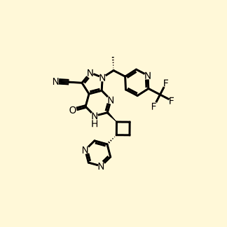 C[C@H](c1ccc(C(F)(F)F)nc1)n1nc(C#N)c2c(=O)[nH]c([C@H]3CC[C@@H]3c3cncnc3)nc21